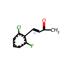 CC(=O)/C=C/c1c(F)cccc1Cl